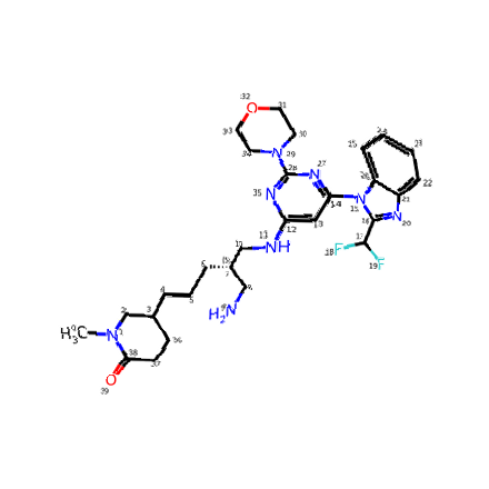 CN1CC(CCC[C@@H](CN)CNc2cc(-n3c(C(F)F)nc4ccccc43)nc(N3CCOCC3)n2)CCC1=O